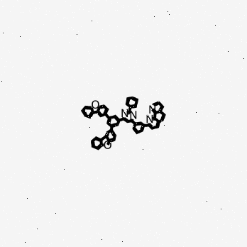 c1ccc(-c2nc(-c3cc(-c4ccc5oc6ccccc6c5c4)cc(-c4ccc5oc6ccccc6c5c4)c3)cc(-c3cccc(-c4ccc5ccc6cccnc6c5n4)c3)n2)cc1